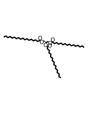 CCCCCCCCCCCCCCCCCC(=O)OC[C@@H](COC(=O)CCCCCCCCCCCCCCC)OC(=O)CCCCCCCCCCCCCCCC